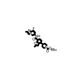 Cc1cn2cc(NC(=O)c3ccc(C4CCN(C(=O)OC(C)(C)C)CC4)c4cc(C)oc34)cc(F)c2n1